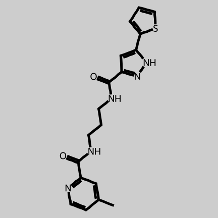 Cc1ccnc(C(=O)NCCCNC(=O)c2cc(-c3cccs3)[nH]n2)c1